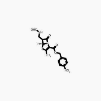 CC1=C(C(=O)OCc2ccc([N+](=O)[O-])cc2)N2C(=O)C(CNC=O)[C@H]2S1